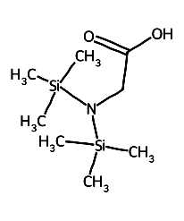 C[Si](C)(C)N(CC(=O)O)[Si](C)(C)C